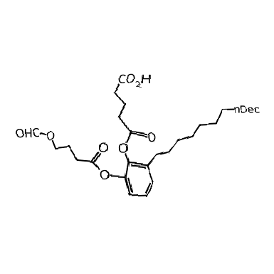 CCCCCCCCCCCCCCCCCc1cccc(OC(=O)CCCOC=O)c1OC(=O)CCCC(=O)O